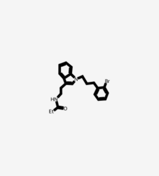 CCC(=O)NCCc1cn(CCCc2ccccc2Br)c2ccccc12